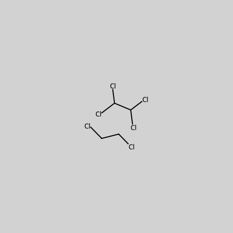 ClC(Cl)C(Cl)Cl.ClCCCl